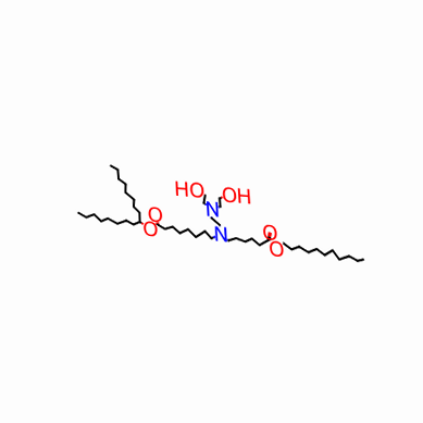 CCCCCCCCCCCOC(=O)CCCCCN(CCCCCCCC(=O)OC(CCCCCCCC)CCCCCCCC)CCN(CCO)CCO